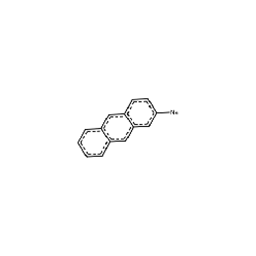 [Na][c]1ccc2cc3ccccc3cc2c1